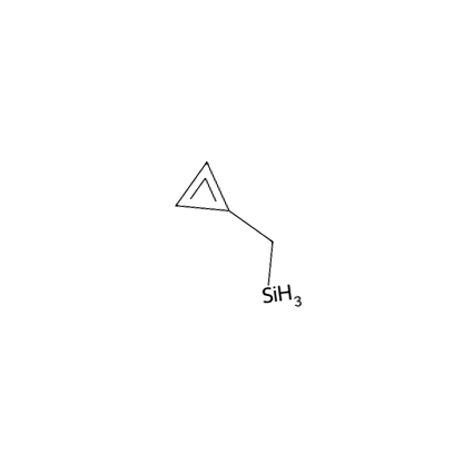 [SiH3]CC1=C=C1